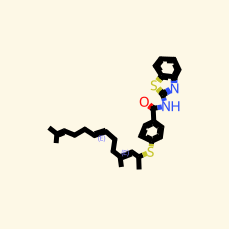 CC(C)=CCC/C=C/CC/C(C)=C/C(C)Sc1ccc(C(=O)Nc2nc3ccccc3s2)cc1